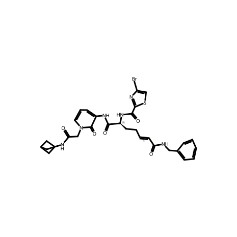 O=C(/C=C/CC[C@H](NC(=O)c1nc(Br)cs1)C(=O)Nc1cccn(CC(=O)NC23CC(C2)C3)c1=O)NCc1ccccc1